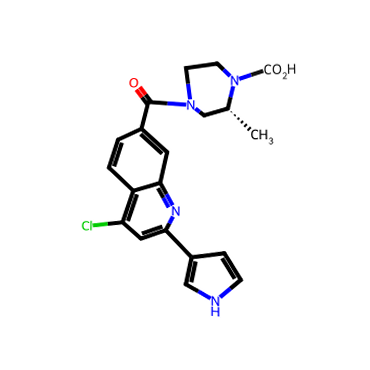 C[C@@H]1CN(C(=O)c2ccc3c(Cl)cc(-c4cc[nH]c4)nc3c2)CCN1C(=O)O